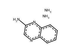 N.N.Nc1cnc2ccccc2n1